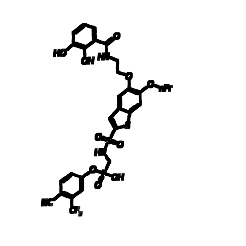 CCCOc1cc2sc(S(=O)(=O)NCP(=O)(O)Oc3ccc(C#N)c(C(F)(F)F)c3)cc2cc1OCCNC(=O)c1cccc(O)c1O